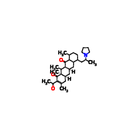 CC(=O)C1=C(C)C[C@@H]2C[C@@H]3CC4C(CC(C)N5CCCC5)CCC(C)C4C(=O)C3C(C)[C@]2(C)C1=O